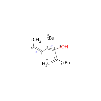 C=C(/C(O)=C(\C=C/C)C(C)(C)C)C(C)(C)C